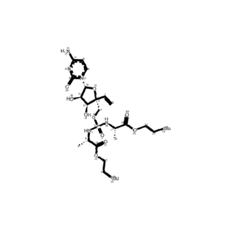 C=C[C@]1(COP(=O)(N[C@@H](C)C(=O)OCCC(C)(C)C)N[C@@H](C)C(=O)OCCC(C)(C)C)O[C@@H](n2ccc(N)nc2=O)[C@H](O)[C@@H]1O